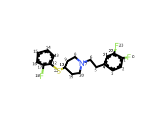 Fc1ccc(CCN2CCC(Sc3ccccc3F)CC2)cc1F